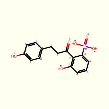 O=C(CCc1ccc(O)cc1)c1c(O)cccc1P(=O)(O)O